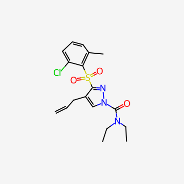 C=CCc1cn(C(=O)N(CC)CC)nc1S(=O)(=O)c1c(C)cccc1Cl